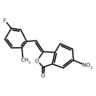 Cc1ccc(F)cc1C=C1OC(=O)c2cc([N+](=O)[O-])ccc21